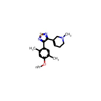 CCCOc1cc(C)c(-c2nsnc2C2=CCCN(C)C2)cc1C